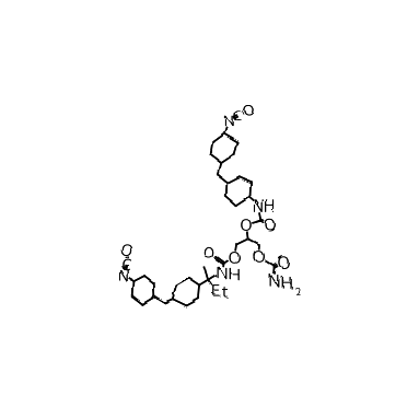 CCC(C)(NC(=O)OCC(COC(N)=O)OC(=O)NC1CCC(CC2CCC(N=C=O)CC2)CC1)C1CCC(CC2CCC(N=C=O)CC2)CC1